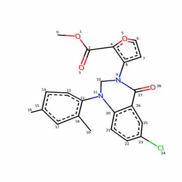 COC(=O)c1occc1N1CN(c2ccc(C)cc2C)c2ccc(Cl)cc2C1=O